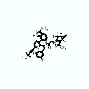 C=C1[C@@H]2c3c(C(F)(F)F)nn(CC(=O)NC(Cc4cc(F)cc(F)c4)c4nc(C#CC(C)(C)O)ccc4-c4cccc5c(N)n[nH]c45)c3C(F)(F)[C@H]12